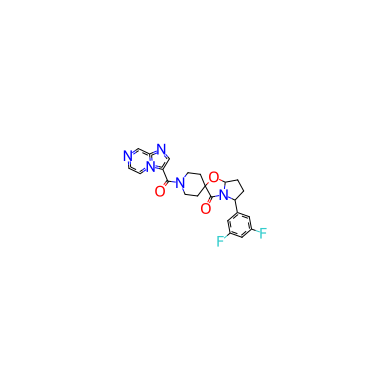 O=C(c1cnc2cnccn12)N1CCC2(CC1)OC1CCC(c3cc(F)cc(F)c3)N1C2=O